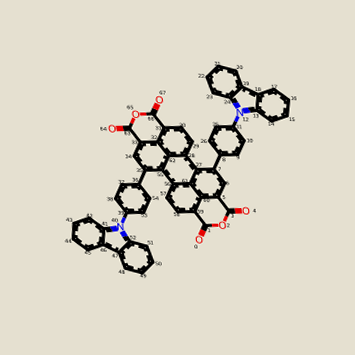 O=C1OC(=O)c2cc(-c3ccc(-n4c5ccccc5c5ccccc54)cc3)c3c4ccc5c6c(cc(-c7ccc(-n8c9ccccc9c9ccccc98)cc7)c(c7ccc1c2c73)c64)C(=O)OC5=O